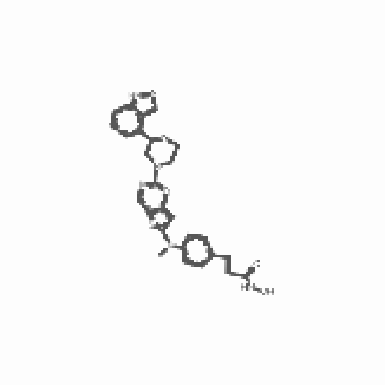 CN(c1ccc(/C=C/C(=O)NO)cc1)c1cc2nc(N3CCOC(c4cccc5[nH]ncc45)C3)ncc2s1